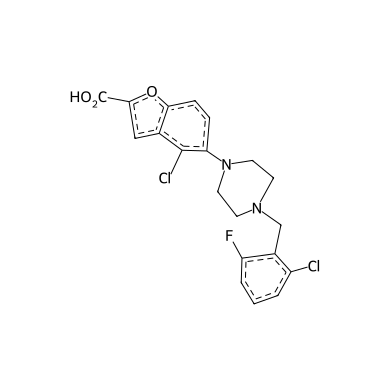 O=C(O)c1cc2c(Cl)c(N3CCN(Cc4c(F)cccc4Cl)CC3)ccc2o1